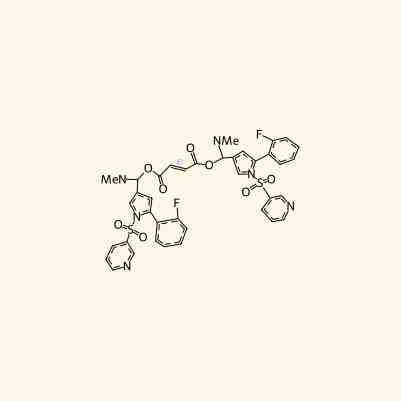 CNC(OC(=O)/C=C/C(=O)OC(NC)c1cc(-c2ccccc2F)n(S(=O)(=O)c2cccnc2)c1)c1cc(-c2ccccc2F)n(S(=O)(=O)c2cccnc2)c1